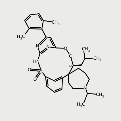 Cc1cccc(C)c1-c1cc2nc(n1)NS(=O)(=O)c1cccc(c1)C1(CCCN(C(C)C)CC1)[C@H](CC(C)C)CO2